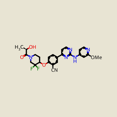 COc1cc(Nc2nccc(-c3ccc(OC4CCN(C(=O)[C@@H](C)O)CC4(F)F)c(C#N)c3)n2)ccn1